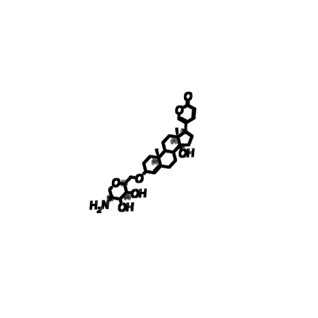 C[C@]12CCC(OC[C@@H]3OC[C@H](N)C(O)[C@@H]3O)C=C1CCC1C2CC[C@]2(C)[C@@H](c3ccc(=O)oc3)CC[C@]12O